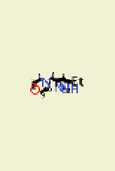 [CH2]Cc1cc(CN2CCOCC2)n[nH]1